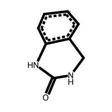 O=C1NCc2c[c]ccc2N1